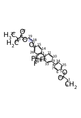 C=CC(=O)Oc1ccc(-c2ccc(-c3ccc(O/C=C\OC(=O)C(=C)C)cc3C(F)(F)F)cc2)cc1